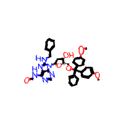 COc1ccc(C(OC[C@H]2O[C@@H](n3c(NCc4ccccc4)nc4c(NC=O)ncnc43)C[C@@H]2O)(c2ccccc2)c2ccc(OC)cc2)cc1